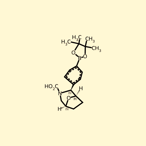 CC1(C)OB(c2ccc([C@H]3[C@H]4CC[C@@H](CN3C(=O)O)O4)cc2)OC1(C)C